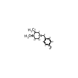 CC1CN(Cc2ccc(F)cc2)CCN1C